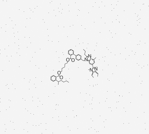 C/C=c1/nc(-c2cc(C)c3nc(CCC)n(Cc4ccc(-c5ccccc5C(=O)OCCCCCOC(=O)c5ccccc5C(C)CCCC)cc4)c3c2)n(C)/c1=C/C